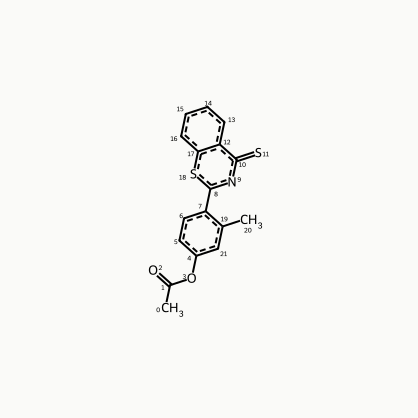 CC(=O)Oc1ccc(-c2nc(=S)c3ccccc3s2)c(C)c1